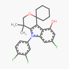 CC1(C)COC2(CCCCC2)c2c1n(-c1ccc(F)c(F)c1)c1cc(F)cc(O)c21